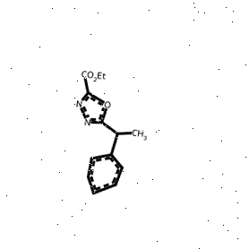 CCOC(=O)c1nnc(C(C)c2ccccc2)o1